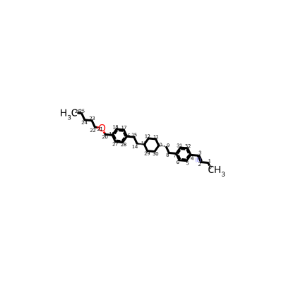 CC/C=C/c1ccc(CC[C@H]2CC[C@H](CCc3ccc(COCCCCC)cc3)CC2)cc1